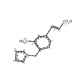 O=C(O)/C=C/c1ccc(Cn2ccnc2)c(C(=O)O)c1